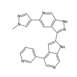 Cn1cc(-c2cc3c(-c4cc5c(-c6cccnc6)cncc5[nH]4)n[nH]c3cn2)cn1